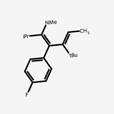 C/C=C(/C(=C(\NC)C(C)C)c1ccc(F)cc1)C(C)(C)C